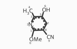 COc1nc(C)c(O)cc1C#N